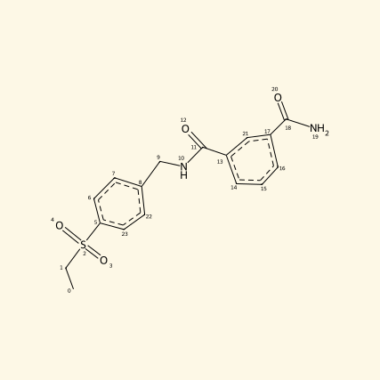 CCS(=O)(=O)c1ccc(CNC(=O)c2cccc(C(N)=O)c2)cc1